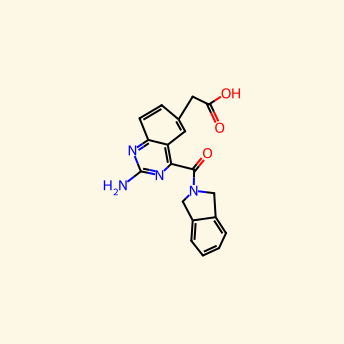 Nc1nc(C(=O)N2Cc3ccccc3C2)c2cc(CC(=O)O)ccc2n1